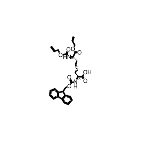 C=CCOC(=O)N[C@@H](CCSC[C@H](NC(=O)OCC1c2ccccc2-c2ccccc21)C(=O)O)C(=O)OCC=C